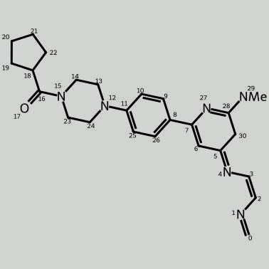 C=N/C=C\N=C1\C=C(c2ccc(N3CCN(C(=O)C4CCCC4)CC3)cc2)N=C(NC)C1